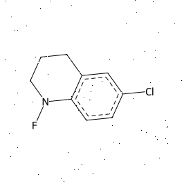 FN1CCCc2cc(Cl)ccc21